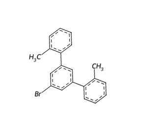 Cc1ccccc1-c1cc(Br)cc(-c2ccccc2C)c1